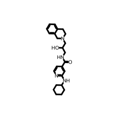 O=C(NCC(O)CN1CCc2ccccc2C1)c1ccnc(NC2CCCCC2)c1